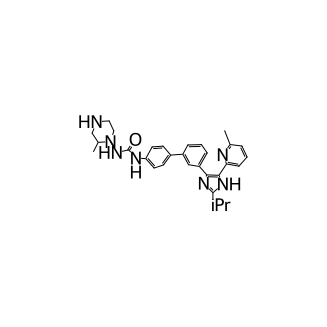 Cc1cccc(-c2[nH]c(C(C)C)nc2-c2cccc(-c3ccc(NC(=O)NN4CCNCC4C)cc3)c2)n1